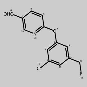 O=Cc1ccc(Oc2cc(Cl)cc(CF)c2)nc1